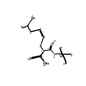 CC(O)C/C=C\CN(C(=O)O)C(=O)OC(C)(C)C